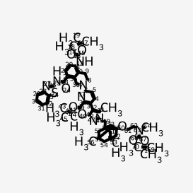 Cc1c(-c2ccc(N3CCc4c(NC(=O)OC(C)(C)C)ccc(C(=O)Nc5nc6ccccc6s5)c4C3)nc2C(=O)OC(C)(C)C)cnn1CC12CC3(C)CC(C)(C1)CC(OCCN(C)C(=O)OC(C)(C)C)(C3)C2